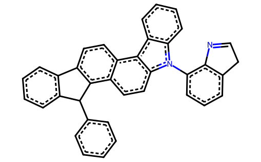 C1=Nc2c(cccc2-n2c3ccccc3c3c4ccc5c(c4ccc32)C(c2ccccc2)c2ccccc2-5)C1